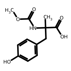 COC(=O)NC(C)(Cc1ccc(O)cc1)C(=O)O